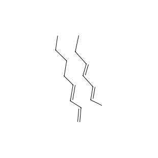 C/C=C/C=C/CC.C=C/C=C/CCCC